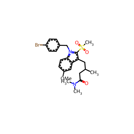 COc1ccc2c(c1)c(CC(C)CC(=O)N(C)C)c(S(C)(=O)=O)n2Cc1ccc(Br)cc1